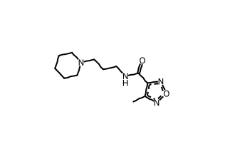 Cc1nonc1C(=O)NCCCN1CCCCC1